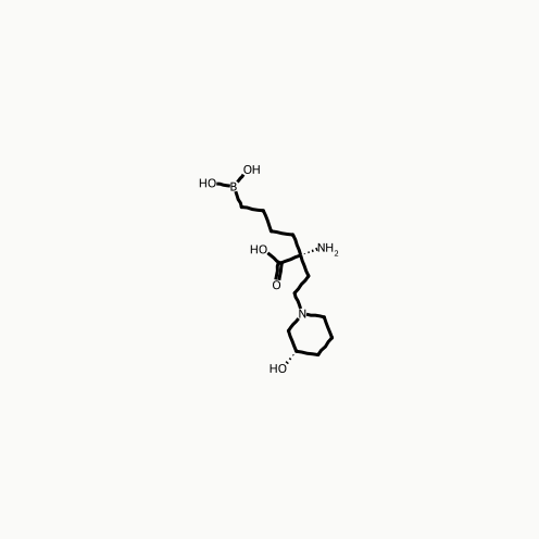 N[C@](CCCCB(O)O)(CCN1CCC[C@H](O)C1)C(=O)O